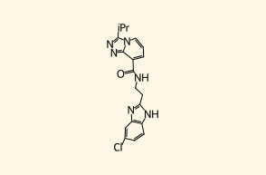 CC(C)c1nnc2c(C(=O)NCCc3nc4cc(Cl)ccc4[nH]3)cccn12